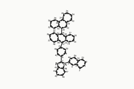 c1ccc2cc(-n3c(-c4ccc(-c5c6ccccc6c(-c6cc7ccccc7c7ccccc67)c6ccccc56)cc4)nc4ccccc43)ccc2c1